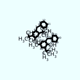 CC(C)(C)c1cc(Cc2ccccc2)c(C(C)(C)C)cc1O.Cc1cc(Cc2ccccc2)c(O)c(C(C)(C)C)c1